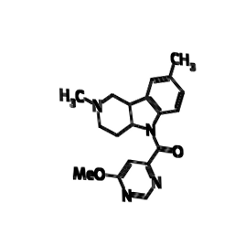 COc1cc(C(=O)N2c3ccc(C)cc3C3CN(C)CCC32)ncn1